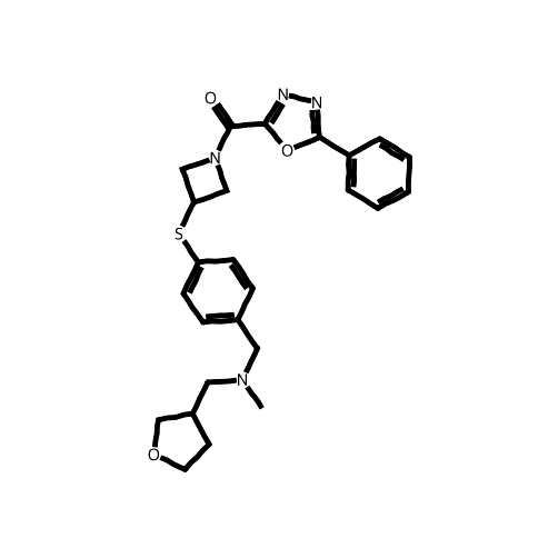 CN(Cc1ccc(SC2CN(C(=O)c3nnc(-c4ccccc4)o3)C2)cc1)CC1CCOC1